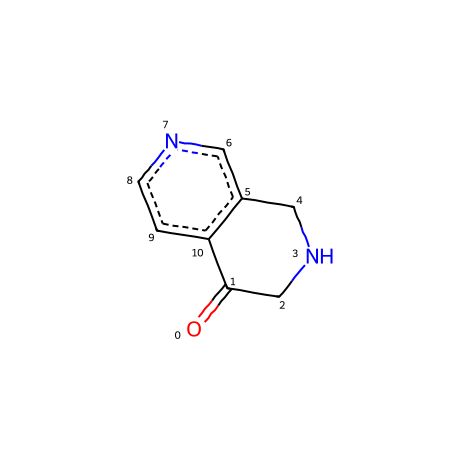 O=C1CNCc2cnccc21